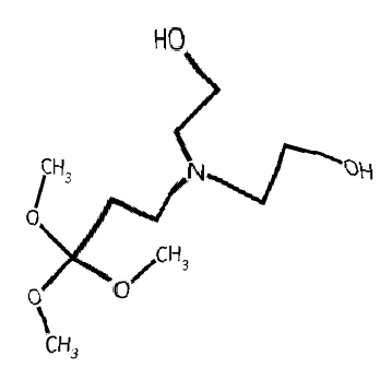 COC(CCN(CCO)CCO)(OC)OC